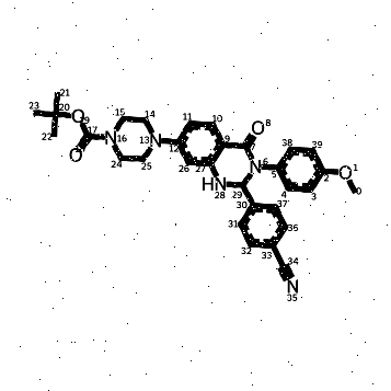 COc1ccc(N2C(=O)c3ccc(N4CCN(C(=O)OC(C)(C)C)CC4)cc3NC2c2ccc(C#N)cc2)cc1